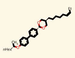 CC/C=C\CCCCC[C@H]1CO[C@H](c2ccc(-c3ccc(O[C@@H](C)CCCCCC)cc3)cc2)OC1